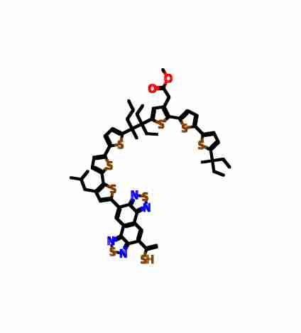 C=C(S)c1cc2c(cc(-c3cc(CC(C)C)c(-c4ccc(-c5ccc(C(C)(CCC)C(CC)(CC)c6cc(CC(=O)OC)c(-c7ccc(-c8ccc(C(C)(CC)CC)s8)s7)s6)s5)s4)s3)c3nsnc32)c2nsnc12